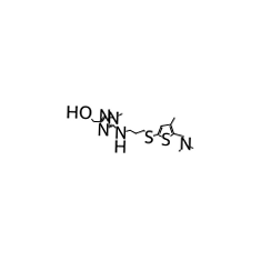 Cc1cc(SCCCNc2nc(CO)nn2C)sc1CN(C)C